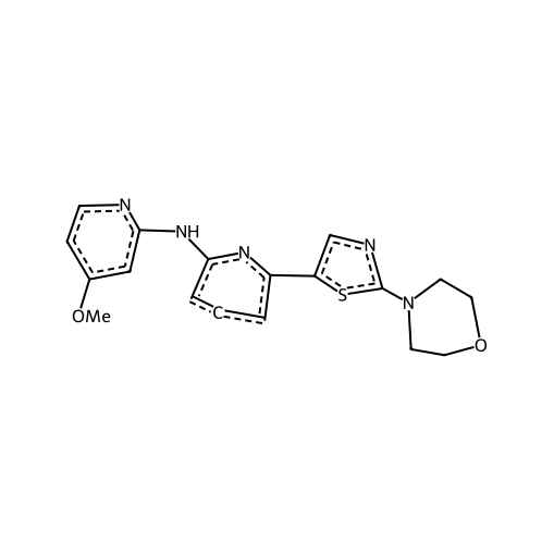 COc1ccnc(Nc2cccc(-c3cnc(N4CCOCC4)s3)n2)c1